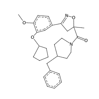 COc1ccc(C2=NOC(C)(C(=O)N3CCC(Cc4ccccc4)CC3)C2)cc1OC1CCCC1